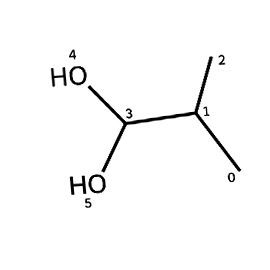 CC(C)C(O)O